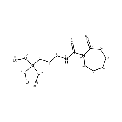 CCO[Si](CCCNC(=O)N1CCCCCC1=O)(OCC)OCC